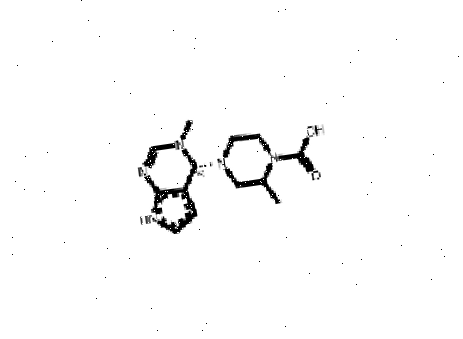 CC1CN([C@@H]2c3cc[nH]c3N=CN2C)CCN1C(=O)O